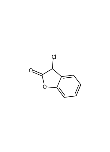 O=C1Oc2ccccc2C1Cl